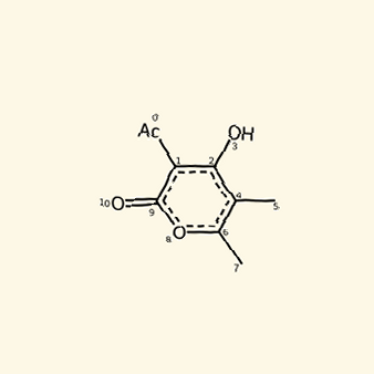 CC(=O)c1c(O)c(C)c(C)oc1=O